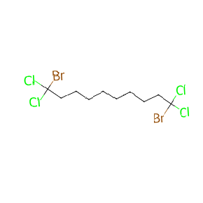 ClC(Cl)(Br)CCCCCCCCC(Cl)(Cl)Br